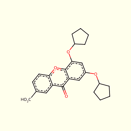 O=C(O)c1ccc2oc3c(OC4CCCC4)cc(OC4CCCC4)cc3c(=O)c2c1